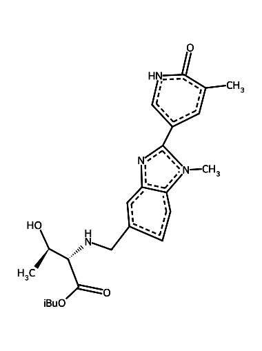 Cc1cc(-c2nc3cc(CN[C@H](C(=O)OCC(C)C)[C@@H](C)O)ccc3n2C)c[nH]c1=O